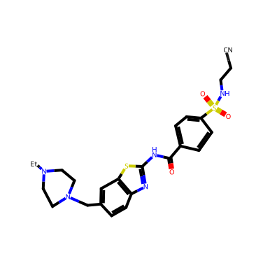 CCN1CCN(Cc2ccc3nc(NC(=O)c4ccc(S(=O)(=O)NCCC#N)cc4)sc3c2)CC1